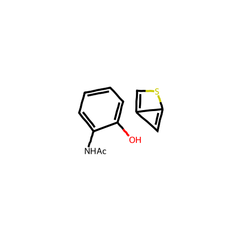 CC(=O)Nc1ccccc1O.c1sc2cc1-2